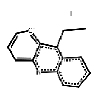 CCc1c2c(nc3ccccc13)=CC=C[C+]=2.[I-]